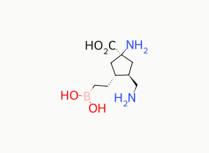 NC[C@@H]1C[C@@](N)(C(=O)O)C[C@H]1CCB(O)O